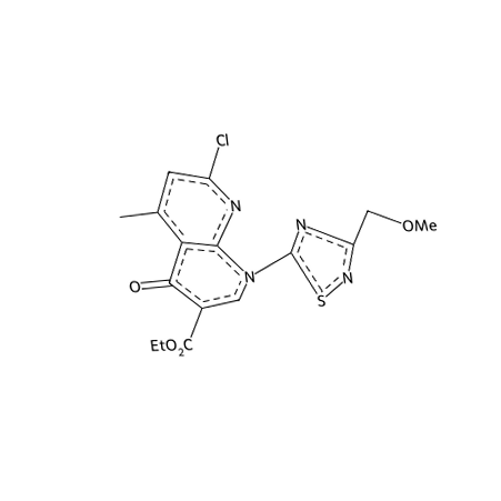 CCOC(=O)c1cn(-c2nc(COC)ns2)c2nc(Cl)cc(C)c2c1=O